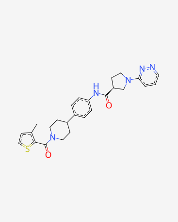 Cc1ccsc1C(=O)N1CCC(c2ccc(NC(=O)[C@H]3CCN(c4cccnn4)C3)cc2)CC1